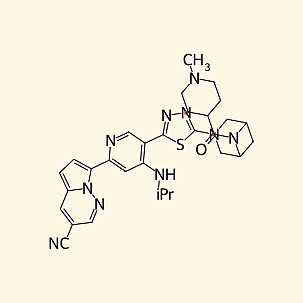 CC(C)Nc1cc(-c2ccc3cc(C#N)cnn23)ncc1-c1nnc(N2CC3CC(C2)N3C(=O)C2CCN(C)CC2)s1